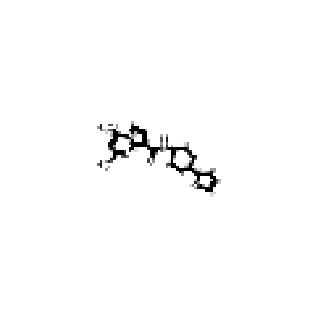 Cc1cc(C)n2ccc(C(=O)NC3CCC(C4CC=CS4)CC3)c2n1